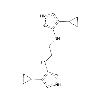 c1[nH]nc(NCCNc2n[nH]cc2C2CC2)c1C1CC1